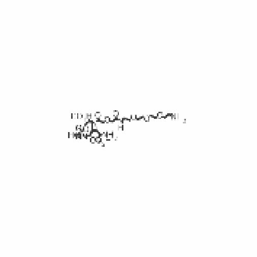 NCCOCCOCCOCCNC(=O)COCC(=O)N[C@@H](COP(=O)(O)N[C@@H](CCC(N)=O)C(=O)O)C(=O)O